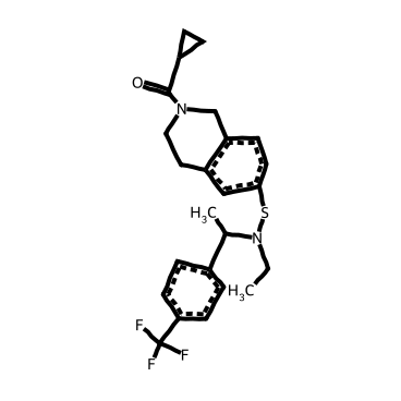 CCN(Sc1ccc2c(c1)CCN(C(=O)C1CC1)C2)C(C)c1ccc(C(F)(F)F)cc1